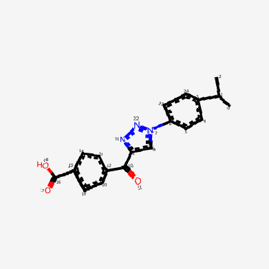 CC(C)c1ccc(-n2cc(C(=O)c3ccc(C(=O)O)cc3)nn2)cc1